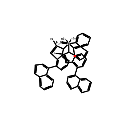 CCC[CH2][Ti](=[SiH2])([CH2]CCC)([c]1ccccc1)([c]1ccccc1)([CH]1C(CC)=Cc2c(-c3cccc4ccccc34)cccc21)[CH]1C(CC)=Cc2c(-c3cccc4ccccc34)cccc21